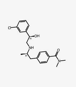 C[C@H](Cc1ccc(C(=O)N(C)C)cc1)NC[C@H](O)c1cccc(Cl)c1